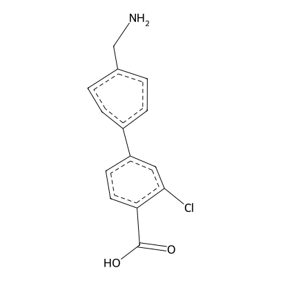 NCc1ccc(-c2ccc(C(=O)O)c(Cl)c2)cc1